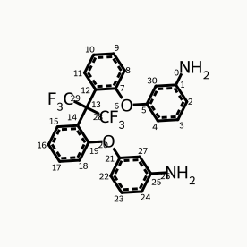 Nc1cccc(Oc2ccccc2C(c2ccccc2Oc2cccc(N)c2)(C(F)(F)F)C(F)(F)F)c1